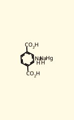 O=C(O)c1ccc(C(=O)O)cc1.[Hg].[NaH].[NaH]